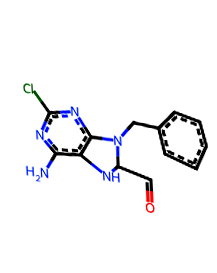 Nc1nc(Cl)nc2c1NC(C=O)N2Cc1ccccc1